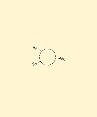 CC1CCC[C@@H](N)CCCC(N)C1